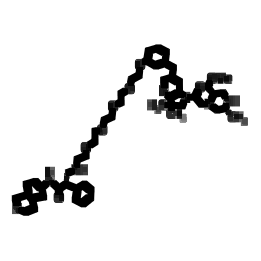 COC[C@H]1CN[C@H](C)CN1CC(=O)N1CC(C)(C)c2ncc(Cc3cccc(OCCOCCOCCOCCOCCNC[C@@H](C(=O)Nc4ccc5cnccc5c4)c4ccccc4)c3)cc21